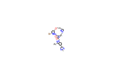 CC(=O)c1nn(CC(=O)N2C[C@]3(C)C[C@H]2C(=O)Nc2nc(Br)ccc2COC/C=C/c2ccn(n2)C3)c2ccc(-c3cnc(C)nc3)cc12